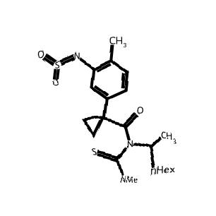 CCCCCCC(C)N(C(=O)C1(c2ccc(C)c(N=S(=O)=O)c2)CC1)C(=S)NC